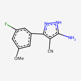 COc1cc(F)cc(-c2n[nH]c(N)c2C#N)c1